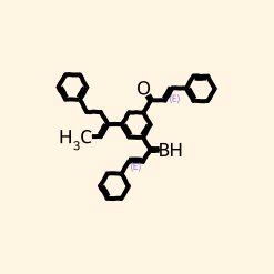 B=C(/C=C/C1CC=CCC1)C1=CC(C(=O)/C=C/C2=CCCC=C2)CC(C(=CC)CCC2=CCCC=C2)=C1